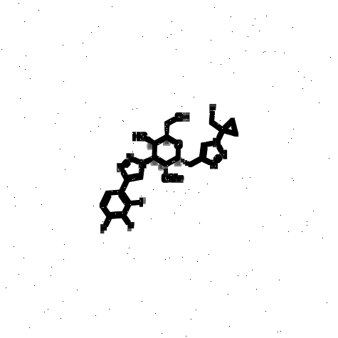 CO[C@@H]1[C@@H](n2cc(-c3ccc(F)c(F)c3F)nn2)[C@@H](O)[C@@H](CO)O[C@@H]1Cc1cn(C2(CF)CC2)nn1